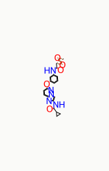 CS(=O)(=O)CC(=O)Nc1cccc(Oc2ccc3nc(NC(=O)C4CC4)cn3n2)c1